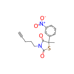 C#CCCCN1C(=O)SC(C)(c2cccc([N+](=O)[O-])c2)C1=O